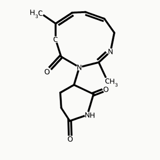 C/C1=C/C=C\C/N=C(/C)N(C2CCC(=O)NC2=O)C(=O)C1